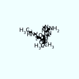 CCCNC[C@@H]1C[C@@]12OC(n1cnc3c(N)ncnc31)[C@H]1OC(C)(C)OC12